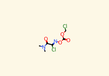 CN(C)C(=O)C(Cl)=NOC(=O)OCCl